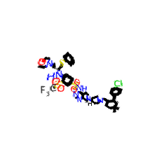 [2H]C1(N2CCc3c(ncnc3NS(=O)(=O)c3ccc(N[C@H](CCN4CCOCC4)CSc4ccccc4)c(S(=O)(=O)C(F)(F)F)c3)C2)CCN(CC2=C(c3ccc(Cl)cc3)CC(C)(C)CC2)CC1